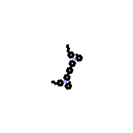 CCCCc1ccc(N(c2ccc(-c3ccc(-c4ccc(N(c5ccc(CCC)cc5)c5ccccc5C)cc4)cc3)cc2)c2ccccc2C)cc1